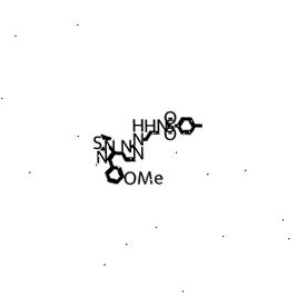 COc1cccc(-c2nc3sccn3c2-c2ccnc(NCCCNS(=O)(=O)c3ccc(C)cc3)n2)c1